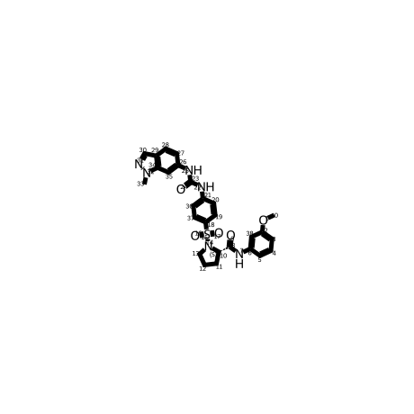 COc1cccc(NC(=O)[C@@H]2CCCN2S(=O)(=O)c2ccc(NC(=O)Nc3ccc4cnn(C)c4c3)cc2)c1